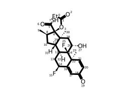 CCC(=O)O[C@]1(C(=O)S)[C@H](C)C[C@H]2[C@@H]3C[C@H](F)C4=CC(=O)C=C[C@]4(C)[C@@]3(F)[C@@H](O)C[C@@]21C